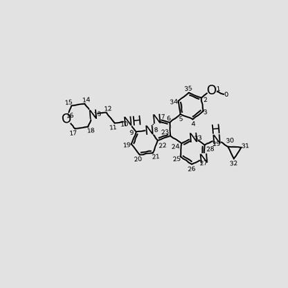 COc1ccc(-c2nn3c(NCCN4CCOCC4)cccc3c2-c2ccnc(NC3CC3)n2)cc1